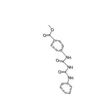 COC(=O)c1ccc(NC(=O)NC(=O)Nc2ccccc2)cc1